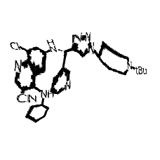 CC(C)(C)N1CCC(n2cc([C@@H](Nc3cc(Cl)c4ncc(C#N)c(NC5CCCCC5)c4c3)c3cccnc3)nn2)CC1